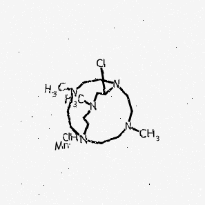 CN1CCN2CCN(C)CCN(CC1)C(Cl)CN(C)CC2.Cl.[Mn]